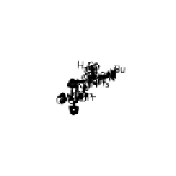 CCC(C)n1cc(COC(=O)OC(C)(COS(C)(=O)=O)C(=O)[C@H](CC(C)C)NC(=O)[C@H](Cc2ccccc2)NC(=O)[C@H](CC(C)C)NC(=O)[C@H](CCc2ccccc2)NC(=O)CN2CCOCC2)nn1